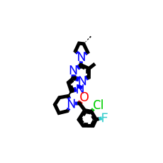 Cc1cn2nc([C@@H]3CCCCN3C(=O)c3cccc(F)c3Cl)cc2nc1N1CC[C@H](C)C1